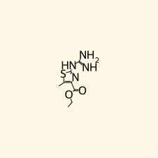 CCOC(=O)c1nc(NC(=N)N)sc1C